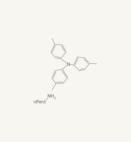 CCCCCN.Cc1ccc(N(c2ccc(C)cc2)c2ccc(C)cc2)cc1